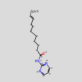 CCCCCCCCC=CCCCCCCCC(=O)Nc1ncccn1